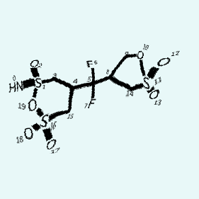 N=S1(=O)CC(C(F)(F)C2COS(=O)(=O)C2)CS(=O)(=O)O1